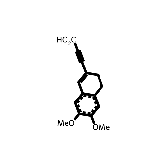 COc1cc2c(cc1OC)CCC(C#CC(=O)O)=C2